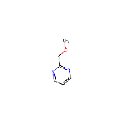 FC(F)(F)OCc1n[c]ccn1